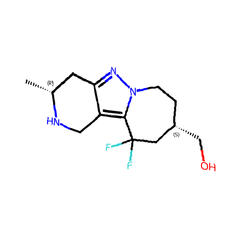 C[C@@H]1Cc2nn3c(c2CN1)C(F)(F)C[C@@H](CO)CC3